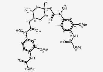 COC(=O)Nc1ccc(N(O)C(=O)CN2CC[N+](C)(CC(=O)N(O)c3ccc(NC(=O)OC)c(OC)c3)CC2)cc1OC.[Cl-]